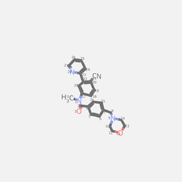 CN(C(=O)c1ccc(CN2CCOCC2)cc1)c1ccc(C#N)c(-c2ccccn2)c1